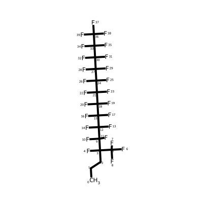 CC[CH]C(F)(C(F)(F)F)C(F)(F)C(F)(F)C(F)(F)C(F)(F)C(F)(F)C(F)(F)C(F)(F)C(F)(F)C(F)(F)C(F)(F)F